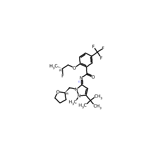 C[C@@H](F)COc1ccc(C(F)(F)F)cc1C(=O)/N=c1\cc(C(C)(C)C)n(C)n1C[C@H]1CCCO1